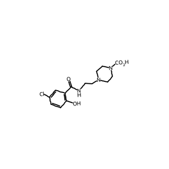 O=C(NCCN1CCN(C(=O)O)CC1)c1cc(Cl)ccc1O